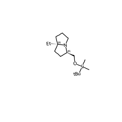 CC[C@]12CCCN1[C@@H](CO[Si](C)(C)C(C)(C)C)CC2